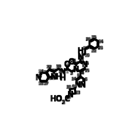 O=C(Cn1c(-c2cnn(C3CN(C(=O)O)C3)c2)cnc(NCCc2ccccc2)c1=O)NCc1cc2cnccc2[nH]1